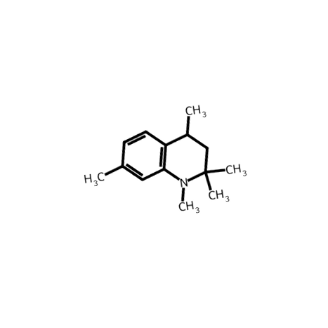 Cc1ccc2c(c1)N(C)C(C)(C)CC2C